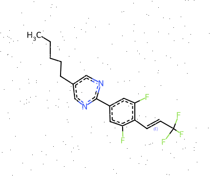 CCCCCc1cnc(-c2cc(F)c(/C=C/C(F)(F)F)c(F)c2)nc1